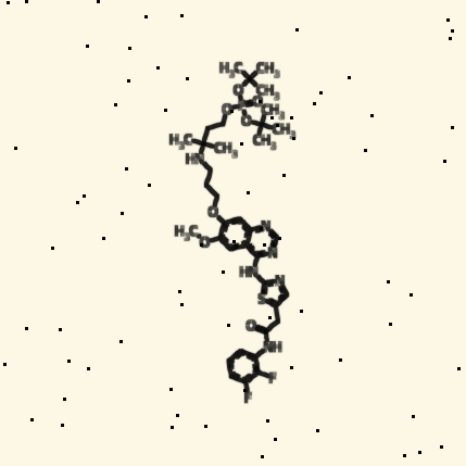 COc1cc2c(Nc3ncc(CC(=O)Nc4cccc(F)c4F)s3)ncnc2cc1OCCCNC(C)(C)CCOP(=O)(OC(C)(C)C)OC(C)(C)C